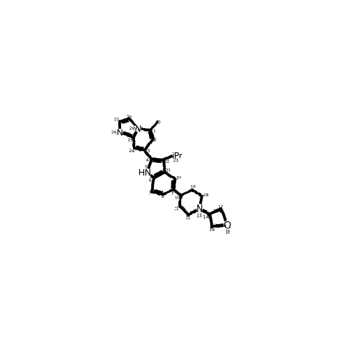 Cc1cc(-c2[nH]c3ccc(C4CCN(C5COC5)CC4)cc3c2C(C)C)cc2nccn12